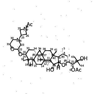 CC(=O)O[C@@H]([C@H]1C[C@@H](C)C2[C@H](O1)[C@H](O)[C@@]1(C)[C@@H]3CC[C@H]4C(C)(C)[C@@H](OC5CN(C6CN(C(C)=O)C6)CCO5)CC[C@@]45C[C@@]35CC[C@]21C)C(C)(C)O